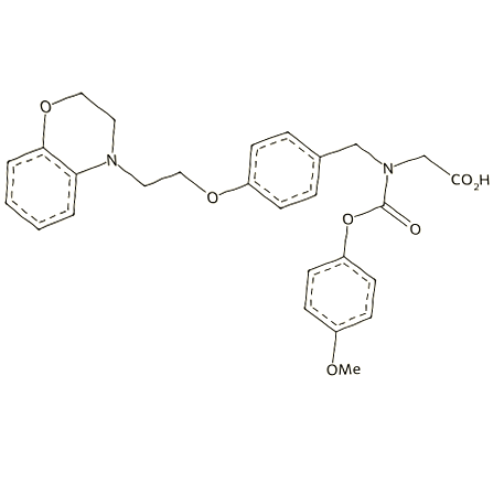 COc1ccc(OC(=O)N(CC(=O)O)Cc2ccc(OCCN3CCOc4ccccc43)cc2)cc1